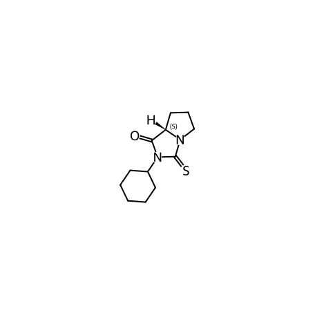 O=C1[C@@H]2CCCN2C(=S)N1C1CCCCC1